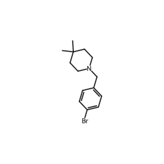 CC1(C)CCN(Cc2ccc(Br)cc2)CC1